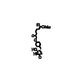 CC/C(=C\C=C/CC(=O)COC1=CC=C(C[C@@H]2SC(=O)NC2O)CC1)OC